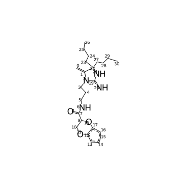 C=C1N(CCCNC(=O)C2COc3ccccc3O2)C(=N)NC1(CCCC)CCCC